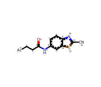 CC(=O)CCC(=O)Nc1ccc2nc(C#N)sc2c1